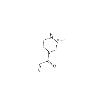 C=CC(=O)N1CCN[C@H](C)C1